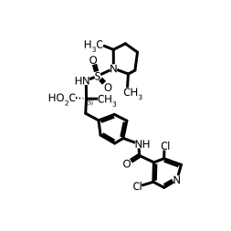 CC1CCCC(C)N1S(=O)(=O)N[C@@](C)(Cc1ccc(NC(=O)c2c(Cl)cncc2Cl)cc1)C(=O)O